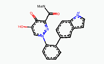 CNC(=O)c1nn(-c2ccccc2-c2ccc3[nH]ccc3c2)cc(O)c1=O